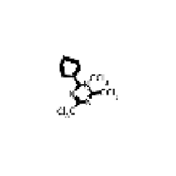 ClC(Cl)(Cl)C1=NC(c2ccccc2)N(C(Cl)(Cl)Cl)C(C(Cl)(Cl)Cl)=N1